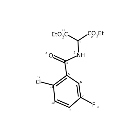 CCOC(=O)C(NC(=O)c1cc(F)ccc1Cl)C(=O)OCC